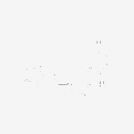 CC(C)(C)c1ccc2[nH]c3c(c2c1)CN(CCc1cnn[nH]1)CC3